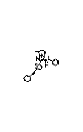 Cc1cccn2c(NC(C)c3ccccc3)c(-c3ccc(C#Cc4ccccc4)s3)nc12